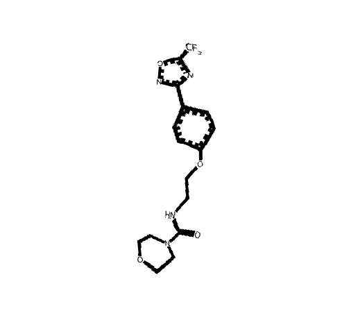 O=C(NCCOc1ccc(-c2noc(C(F)(F)F)n2)cc1)N1CCOCC1